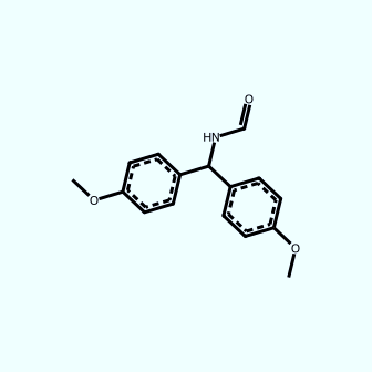 COc1ccc(C(NC=O)c2ccc(OC)cc2)cc1